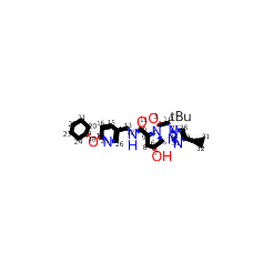 CC(C)(C)[C@@H](C(=O)N1CC(O)CC1C(=O)NCc1ccc(OC2CCCCC2)nc1)n1cc(C2CC2)nn1